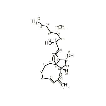 C=C1/C=C/CCCC[C@@H]2[C@@H](/C=C/[C@@H](O)C[C@@H](C)CCCC)[C@H](O)C[C@@H]2O1